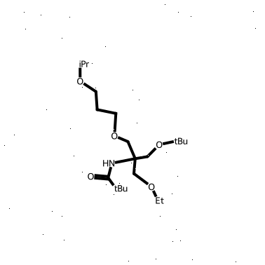 CCOCC(COCCCOC(C)C)(COC(C)(C)C)NC(=O)C(C)(C)C